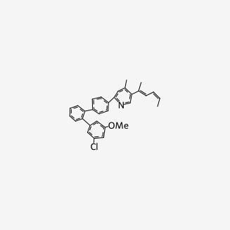 C/C=C\C=C(/C)c1cnc(-c2ccc(-c3ccccc3-c3cc(Cl)cc(OC)c3)cc2)cc1C